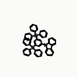 c1ccc([Si](c2ccccc2)(c2ccccc2)c2cc(-n3c4ccccc4c4ccccc43)cc([Si](c3ccccc3)(c3ccccc3)c3ccccc3)c2)cc1